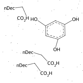 CCCCCCCCCCCC(=O)O.CCCCCCCCCCCC(=O)O.CCCCCCCCCCCC(=O)O.Oc1cc(O)cc(O)c1